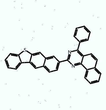 c1ccc(-c2nc(-c3ccc4cc5c(cc4c3)sc3ccccc35)nc3c2ccc2ccccc23)cc1